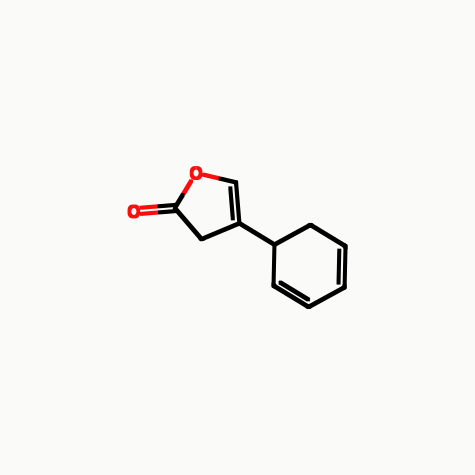 O=C1CC(C2C=CC=CC2)=CO1